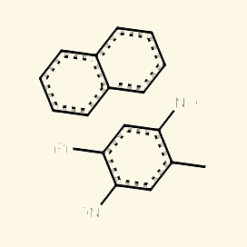 Cc1cc(N=O)c(C(C)C)cc1N=O.c1ccc2ccccc2c1